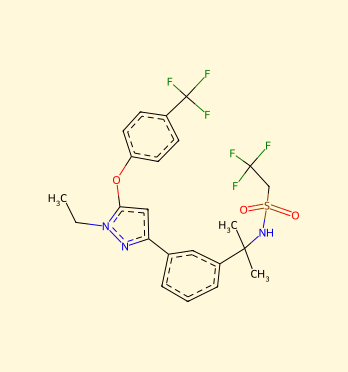 CCn1nc(-c2cccc(C(C)(C)NS(=O)(=O)CC(F)(F)F)c2)cc1Oc1ccc(C(F)(F)F)cc1